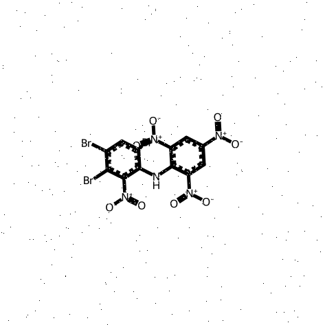 O=[N+]([O-])c1cc([N+](=O)[O-])c(Nc2c(Br)cc(Br)c(Br)c2[N+](=O)[O-])c([N+](=O)[O-])c1